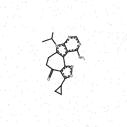 CC(C)n1c2c(c3c(N)ncnc31)-c1noc(C3CC3)c1C(=O)CC2